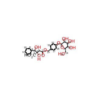 O=C(C[C@](O)(C(=O)O)C(O)c1ccccc1)OCc1ccc(OC2O[C@H](CO)[C@@H](O)[C@H](O)[C@H]2O)cc1